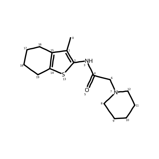 Cc1c(NC(=O)CN2CCCCC2)sc2c1CCCC2